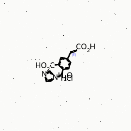 Cl.O.O=C(O)/C=C/c1ccc(Cn2ccnc2)c(C(=O)O)c1